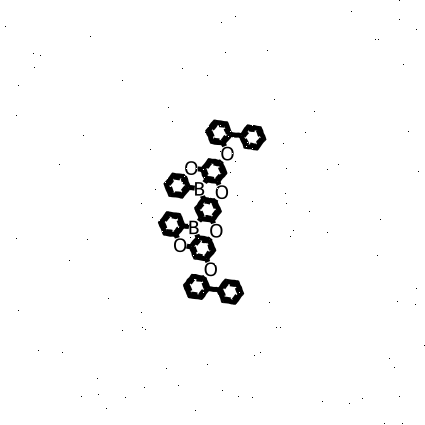 c1ccc(-c2ccccc2Oc2cc3c4c(c2)Oc2cc5c(cc2B4c2ccccc2O3)B2c3ccccc3Oc3cc(Oc4ccccc4-c4ccccc4)cc(c32)O5)cc1